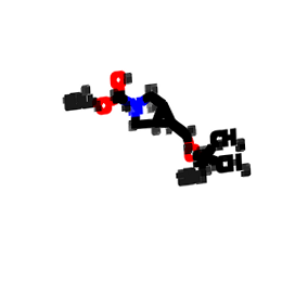 CC(C)(C)OC(=O)N1CC2C(CO[Si](C)(C)C(C)(C)C)C2C1